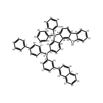 c1ccc(-c2ccc(N(c3cccc(-c4ccc5ccccc5c4)c3)c3ccc4c(c3)[Si](c3ccccc3)(c3ccccc3)c3ccc5c(oc6ccccc65)c3-4)cc2)cc1